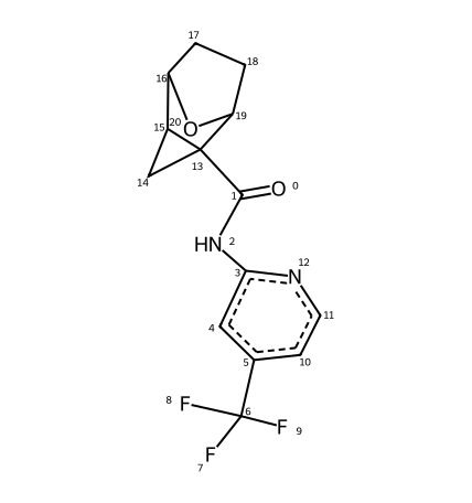 O=C(Nc1cc(C(F)(F)F)ccn1)C12CC1C1CCC2O1